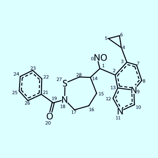 O=NC(c1c(C2CC2)ccn2cncc12)C1CCCN(C(=O)c2ccccc2)SC1